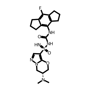 CN(C)[C@H]1COc2c(S(=N)(=O)NC(=O)Nc3c4c(c(F)c5c3CCC5)CCC4)cnn2C1